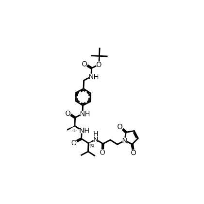 CC(C)[C@H](NC(=O)CCN1C(=O)C=CC1=O)C(=O)N[C@@H](C)C(=O)Nc1ccc(CNC(=O)OC(C)(C)C)cc1